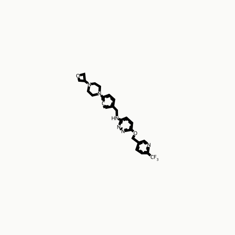 FC(F)(F)c1ccc(COc2ccc(NCc3ccc(N4CCN(C5COC5)CC4)cc3)nn2)cn1